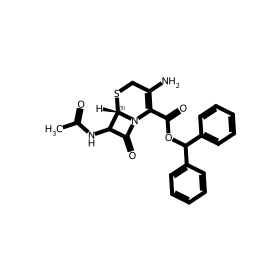 CC(=O)NC1C(=O)N2C(C(=O)OC(c3ccccc3)c3ccccc3)=C(N)CS[C@@H]12